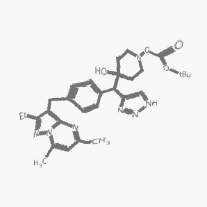 CCc1nn2c(C)cc(C)nc2c1Cc1ccc(C(c2c[nH]nn2)C2(O)CCN(OC(=O)OC(C)(C)C)CC2)cc1